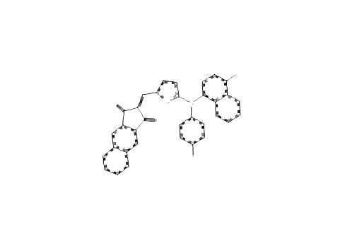 O=C1C(=Cc2ccc(N(c3ccc(Cl)cc3)c3ccc(Cl)c4ccccc34)[se]2)C(=O)c2cc3ccccc3cc21